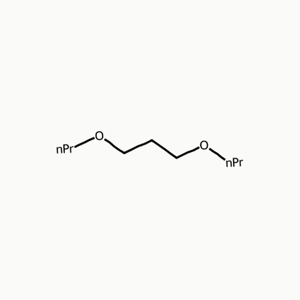 [CH2]CCOCCCOCC[CH2]